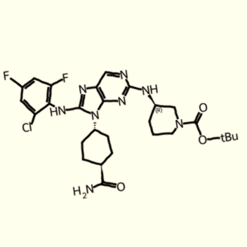 CC(C)(C)OC(=O)N1CCC[C@@H](Nc2ncc3nc(Nc4c(F)cc(F)cc4Cl)n([C@H]4CC[C@H](C(N)=O)CC4)c3n2)C1